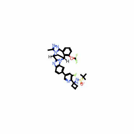 Cc1nnc2n1[C@@H]1C[C@H](c3c(OC(F)F)cccc3-2)n2c1nc1ccc(-c3cnc(C4(N[S+]([O-])C(C)(C)C)CCC4)c(F)c3)cc12